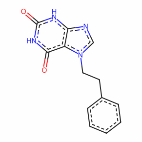 O=c1[nH]c(=O)c2c(ncn2CCc2ccccc2)[nH]1